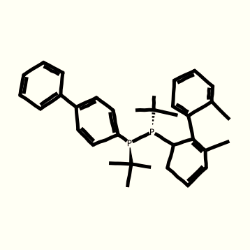 CC1=C(c2ccccc2C)[C]([P@]([P@](c2ccc(-c3ccccc3)cc2)C(C)(C)C)C(C)(C)C)CC=C1